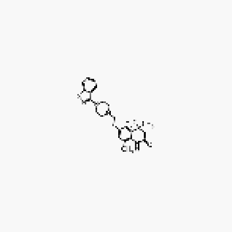 Cc1cc(CCN2CCN(c3nsc4ccccc34)CC2)cc2c1NC(=O)CC2(C)C